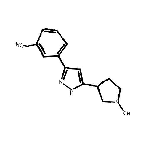 N#Cc1cccc(-c2cc(C3CCN(C#N)C3)[nH]n2)c1